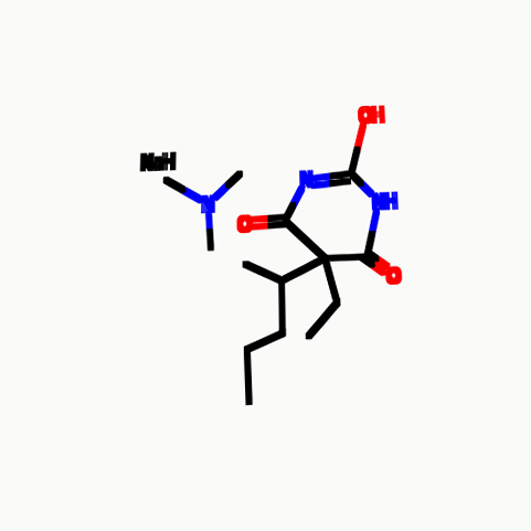 CCCC(C)C1(CC)C(=O)N=C(O)NC1=O.CN(C)C.[NaH]